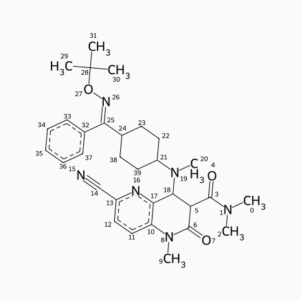 CN(C)C(=O)C1C(=O)N(C)c2ccc(C#N)nc2C1N(C)C1CCC(/C(=N/OC(C)(C)C)c2ccccc2)CC1